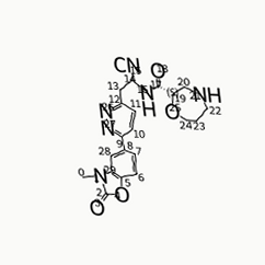 Cn1c(=O)oc2ccc(-c3ccc(CC(C#N)NC(=O)[C@@H]4CNCCCO4)nn3)cc21